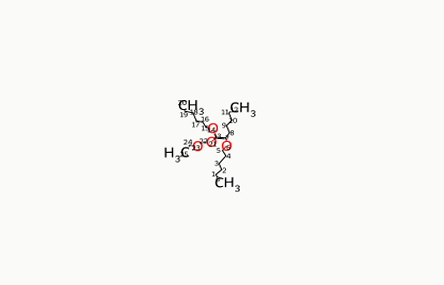 CCCCCCOC(CCCCC)=C(OCCCCCC)OCOCC